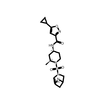 C[C@H]1C[C@@H](NC(=O)c2cc(C3CC3)on2)CCN1S(=O)(=O)N1C=C2CC(C1)N2